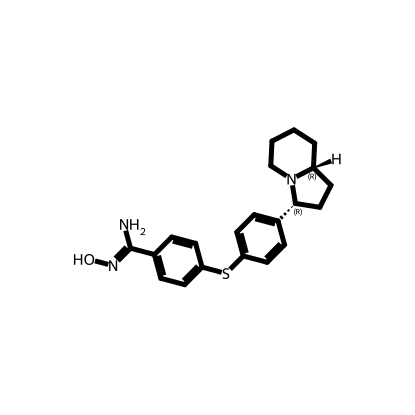 NC(=NO)c1ccc(Sc2ccc([C@H]3CC[C@H]4CCCCN43)cc2)cc1